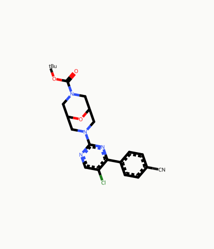 CC(C)(C)OC(=O)N1CC2CN(c3ncc(Cl)c(-c4ccc(C#N)cc4)n3)CC(C1)O2